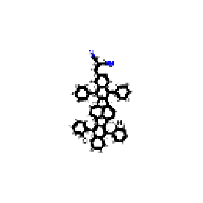 Cc1ccccc1-c1c2c(c(-c3ccccc3C)c3ccccc13)-c1ccc3c4c(ccc-2c14)-c1c-3c(-c2ccccc2)c2cc(C=C(C#N)C#N)ccc2c1-c1ccccc1